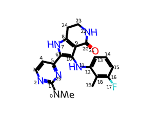 CNc1nccc(-c2[nH]c3c(c2Nc2cccc(F)c2C)C(=O)NCC3)n1